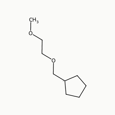 COCCOC[C]1CCCC1